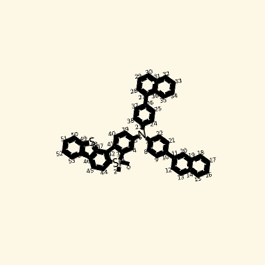 C[Si]1(C)c2cc(N(c3ccc(-c4ccc5ccccc5c4)cc3)c3ccc(-c4cccc5ccccc45)cc3)ccc2-c2c1ccc1c2sc2ccccc21